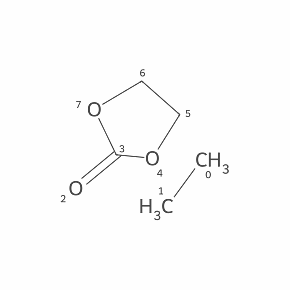 CC.O=C1OCCO1